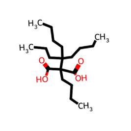 CCCCC(CCC)(CCCC)C(CCCC)(C(=O)O)C(=O)O